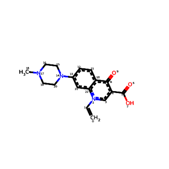 C=Cn1cc(C(=O)O)c(=O)c2ccc(N3CCN(C)CC3)cc21